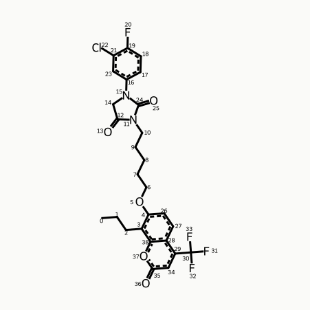 CCCc1c(OCCCCCN2C(=O)CN(c3ccc(F)c(Cl)c3)C2=O)ccc2c(C(F)(F)F)cc(=O)oc12